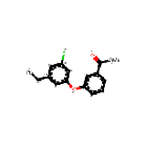 COC(=O)c1cccc(Oc2cc(Cl)cc(CC(C)C)c2)c1